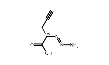 C#CC[C@H](N=NN)C(=O)O